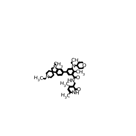 CCN1CCC2(CC1)CN(C)c1cc(-c3cc(C(=O)NCc4c(C)cc(C)[nH]c4=O)c(C)c(N(CC)C4CCOCC4)c3)ccc12